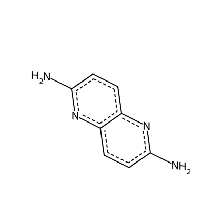 Nc1ccc2nc(N)ccc2n1